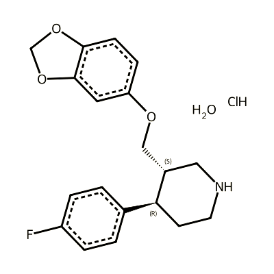 Cl.Fc1ccc([C@@H]2CCNC[C@H]2COc2ccc3c(c2)OCO3)cc1.O